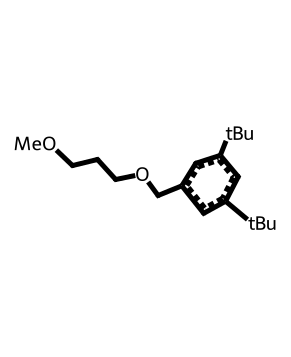 COCCCOCc1cc(C(C)(C)C)cc(C(C)(C)C)c1